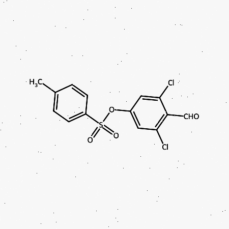 Cc1ccc(S(=O)(=O)Oc2cc(Cl)c(C=O)c(Cl)c2)cc1